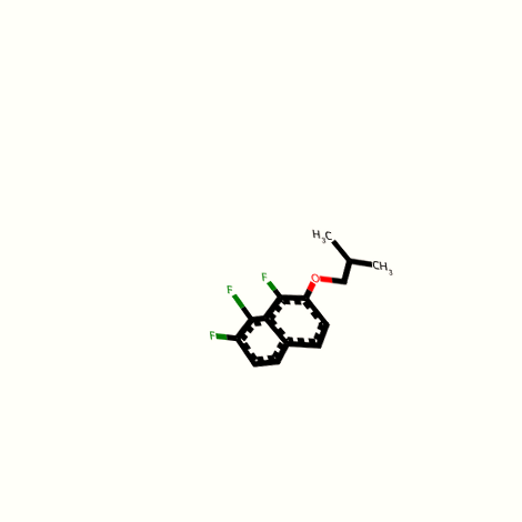 CC(C)COc1ccc2ccc(F)c(F)c2c1F